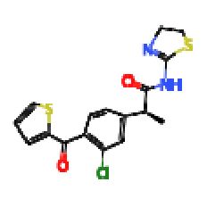 C[C@H](C(=O)NC1=NCCS1)c1ccc(C(=O)c2cccs2)c(Cl)c1